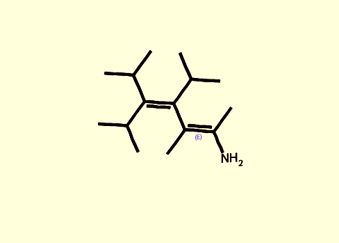 C/C(N)=C(/C)C(=C(C(C)C)C(C)C)C(C)C